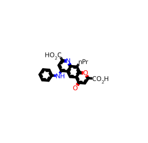 CCCc1c2nc(C(=O)O)cc(Nc3ccccc3)c2cc2c(=O)cc(C(=O)O)oc12